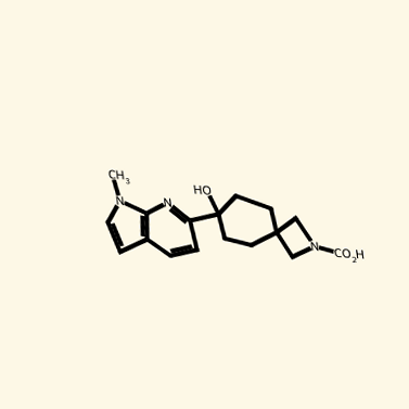 Cn1ccc2ccc(C3(O)CCC4(CC3)CN(C(=O)O)C4)nc21